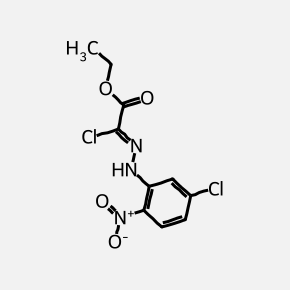 CCOC(=O)/C(Cl)=N/Nc1cc(Cl)ccc1[N+](=O)[O-]